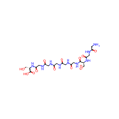 NCC(=O)NCC(=O)N[C@@H](CO)C(=O)NCC(=O)NCC(=O)NCC(=O)NCC(=O)NCC(=O)N[C@@H](CO)C(=O)O